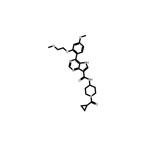 COCCOc1cc(OC)ccc1-c1ncnc2c(C(=O)NC3CCN(C(=O)C4CC4)CC3)c[nH]c12